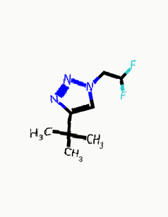 CC(C)(C)c1cn(CC(F)F)nn1